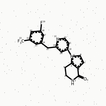 O=C1NCCc2c1ccn2-c1ccnc(Cc2cc(F)cc(C(F)(F)F)c2)c1